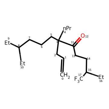 C=CCC(CCC)(CCCC(CC)CC)C(=O)CCC(CC)C(F)(F)F